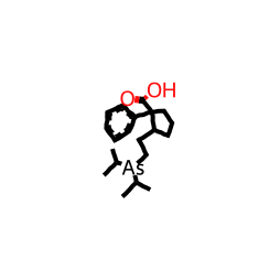 CC(C)[As](CCC1CCCC1(C(=O)O)c1ccccc1)C(C)C